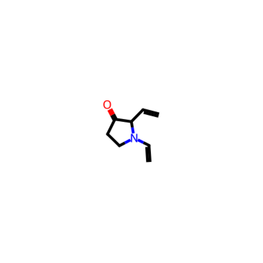 C=CC1C(=O)CCN1C=C